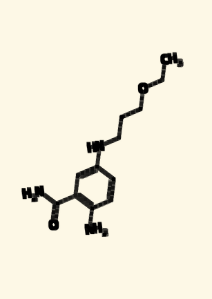 CCOCCCNc1ccc(N)c(C(N)=O)c1